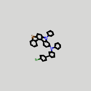 Brc1ccc(-c2cccc(N(c3ccccc3)c3ccc4c5c6c(ccc5n(-c5ccccc5)c4c3)sc3ccccc36)c2)cc1